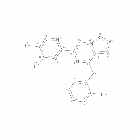 Fc1ccccc1Cc1nc(-c2ncc(Cl)c(Cl)n2)cn2ccnc12